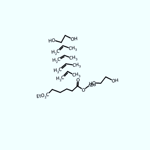 C=CC.C=CC.C=CC.C=CC.CCCCOC(=O)CCCCC(=O)OCC.OCCO.OCCO